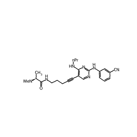 CCCNc1nc(Nc2cccc(C#N)c2)ncc1C#CCCCNC(=O)[C@H](C)NC